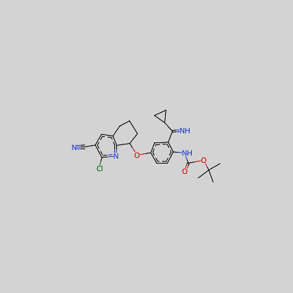 CC(C)(C)OC(=O)Nc1ccc(OC2CCCc3cc(C#N)c(Cl)nc32)cc1C(=N)C1CC1